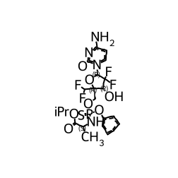 CC(C)OC(=O)[C@H](C)NP(=S)(OC[C@@]1(C(F)F)O[C@@H](n2ccc(N)nc2=O)C(F)(F)[C@@H]1O)Oc1ccccc1